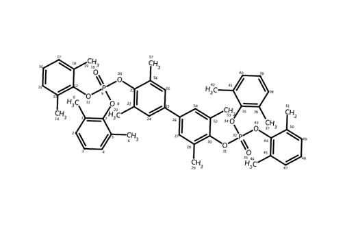 Cc1cccc(C)c1OP(=O)(Oc1c(C)cccc1C)Oc1c(C)cc(-c2cc(C)c(OP(=O)(Oc3c(C)cccc3C)Oc3c(C)cccc3C)c(C)c2)cc1C